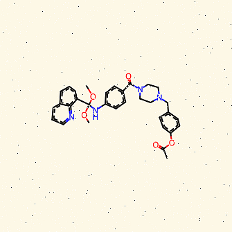 COC(Nc1ccc(C(=O)N2CCN(Cc3ccc(OC(C)=O)cc3)CC2)cc1)(OC)c1cccc2cccnc12